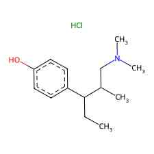 CCC(c1ccc(O)cc1)C(C)CN(C)C.Cl